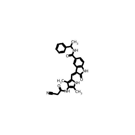 Cc1[nH]c(C=C2C(=O)Nc3ccc(C(=O)NC(C)c4ccccc4)cc32)c(C)c1NC(=O)CC#N